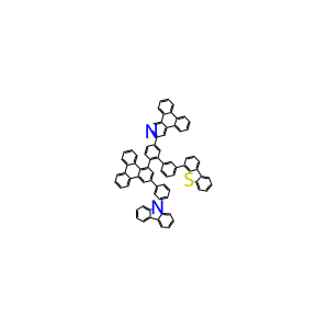 c1cc(-c2cc(-c3cc4c5ccccc5c5ccccc5c4cn3)ccc2-c2cc(-c3cccc(-n4c5ccccc5c5ccccc54)c3)cc3c4ccccc4c4ccccc4c23)cc(-c2cccc3c2sc2ccccc23)c1